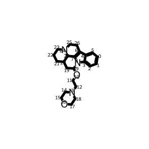 c1ccc2c(c1)c1c3n2C(OCCN2CCOCC2)CC2CCCN(CC1)C32